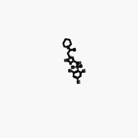 O=C(CN1C=C(NS(=O)(=O)c2c(Cl)cc(Cl)cc2Cl)SN1)N1CCCCC1